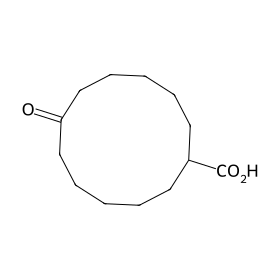 O=C1CCCCCC(C(=O)O)CCCCC1